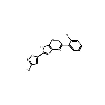 CC(C)(C)c1cc(-c2nc3nc(-c4ccccc4F)ccc3[nH]2)on1